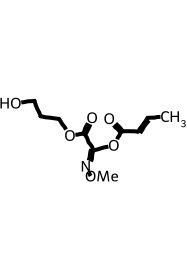 CC=CC(=O)OC(=NOC)C(=O)OCCCO